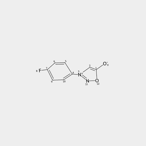 [O-]c1c[n+](-c2ccc(F)cc2)no1